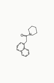 O=C(Cc1cccc2ccccc12)N1CCCCC1